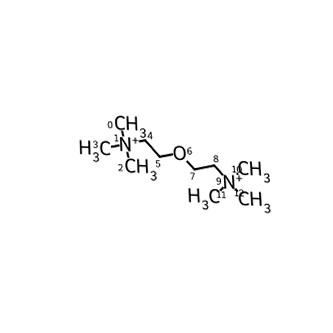 C[N+](C)(C)CCOCC[N+](C)(C)C